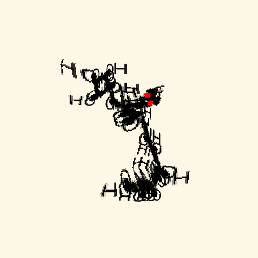 CC(C)(C)[Si](F)(c1ccc(C(=O)N[C@@H](CNC(=O)CC[C@@H](C(=O)O)N2CCN(CC(=O)O)CCN(CC(=O)O)CCN(CC(=O)O)CC2)C(=O)N[C@H](CCCCNC(=O)CCC(=O)NCCC[C@H](NC(=O)CC[C@H](NC(=O)N[C@@H](CCC(=O)O)C(=O)O)C(=O)O)C(=O)O)C(=O)O)cc1)C(C)(C)C